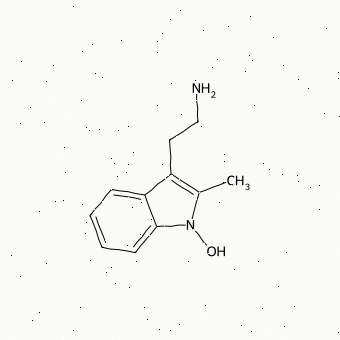 Cc1c(CCN)c2ccccc2n1O